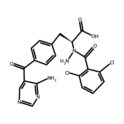 Nc1ncncc1C(=O)c1ccc(C[C@@H](C(=O)O)N(N)C(=O)c2c(Cl)cccc2Cl)cc1